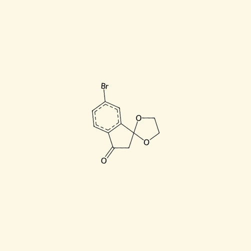 O=C1CC2(OCCO2)c2cc(Br)ccc21